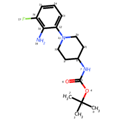 CC(C)(C)OC(=O)NC1CCN(c2cccc(F)c2N)CC1